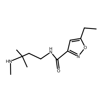 CCc1cc(C(=O)NCCC(C)(C)NC)no1